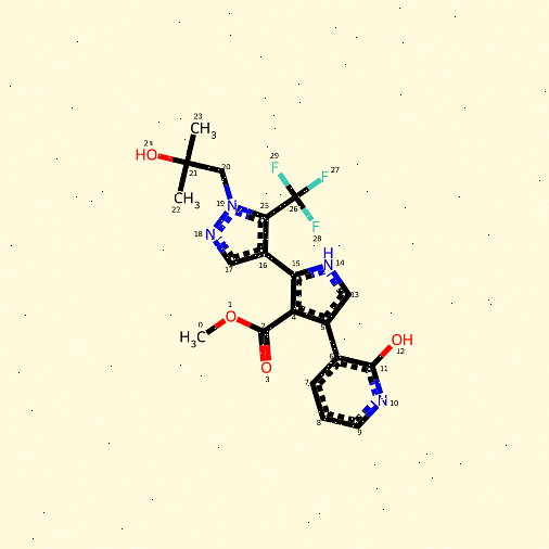 COC(=O)c1c(-c2cccnc2O)c[nH]c1-c1cnn(CC(C)(C)O)c1C(F)(F)F